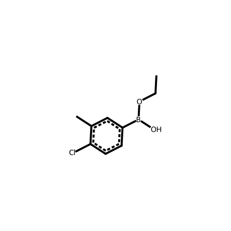 CCOB(O)c1ccc(Cl)c(C)c1